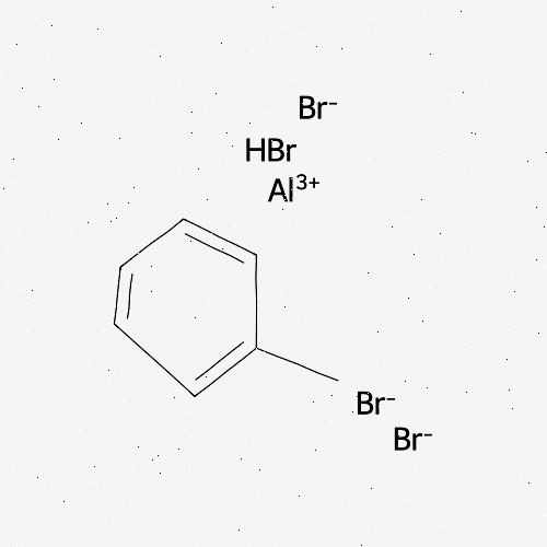 Br.Cc1ccccc1.[Al+3].[Br-].[Br-].[Br-]